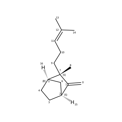 C=C1[C@H]2CC[C@H](C2)[C@]1(C)CCC=C(C)C